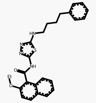 CCOc1ccc2ccccc2c1C(=O)Nc1nnc(NCCCCc2ccccc2)s1